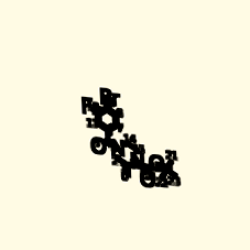 CC1CN(C(=O)c2ccc(Br)c(F)c2)CCN1C(=O)OC(C)(C)C